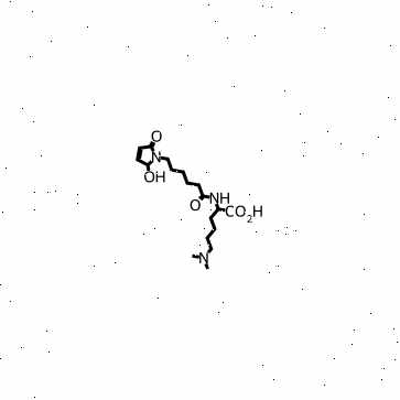 CN(C)CCCCC(NC(=O)CCCCCN1C(=O)C=CC1O)C(=O)O